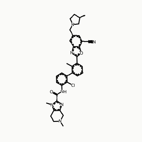 Cc1c(-c2nc3cc(CN4CCC(C)C4)cc(C#N)c3o2)cccc1-c1cccc(NC(=O)c2nc3c(n2C)CCN(C)C3)c1Cl